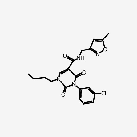 CCCCn1cc(C(=O)NCc2cc(C)on2)c(=O)n(-c2cccc(Cl)c2)c1=O